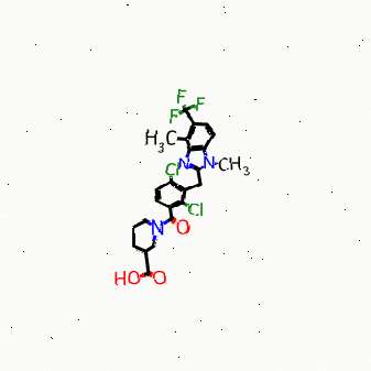 Cc1c(C(F)(F)F)ccc2c1nc(Cc1c(Cl)ccc(C(=O)N3CCCC(C(=O)O)C3)c1Cl)n2C